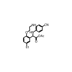 CCc1ccc(OCCN)c(C(Nc2ccc(C#N)cc2)C(=O)OC(C)=O)c1